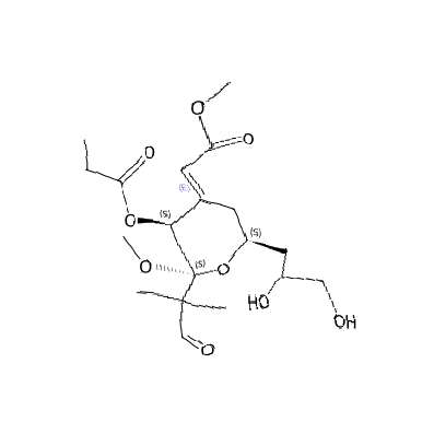 CCC(=O)O[C@H]1/C(=C/C(=O)OC)C[C@@H](CC(O)CO)O[C@@]1(OC)C(C)(C)C=O